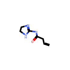 C=CCC(=O)[N]C1=NCCN1